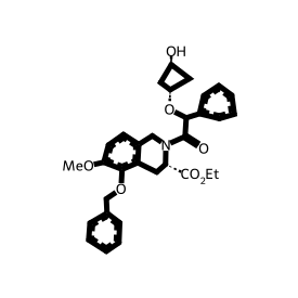 CCOC(=O)[C@@H]1Cc2c(ccc(OC)c2OCc2ccccc2)CN1C(=O)C(O[C@H]1C[C@@H](O)C1)c1ccccc1